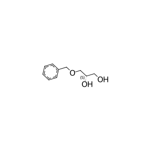 OC[C@H](O)COCc1ccccc1